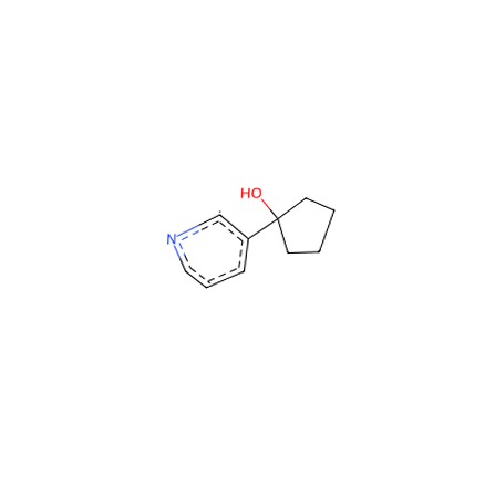 OC1(c2[c]nccc2)CCCC1